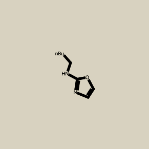 CCCCCNc1ncco1